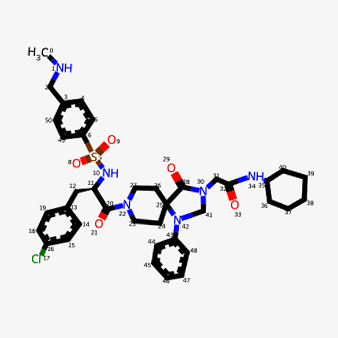 CNCc1ccc(S(=O)(=O)N[C@H](Cc2ccc(Cl)cc2)C(=O)N2CCC3(CC2)C(=O)N(CC(=O)NC2CCCCC2)CN3c2ccccc2)cc1